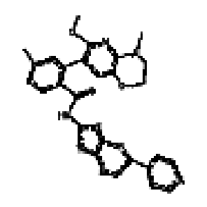 COc1nc2c(cc1-c1cc(C)ncc1C(=O)Nc1nc3ncc(-c4ccncc4)nc3s1)OCCN2C